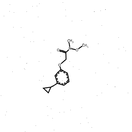 CON(C)C(=O)COc1cccc(C2CC2)c1